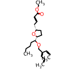 C=C/C=C(\C=C/C)COC(CCCC)[C@H]1CC[C@@H](C/C=C/C(=O)OCC)O1